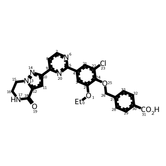 CCOc1cc(-c2nccc(-c3cc4n(n3)CCNC4=O)n2)cc(Cl)c1OCc1ccc(C(=O)O)cc1